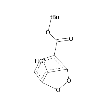 Cc1c2ccc(C(=O)OC(C)(C)C)c1OO2